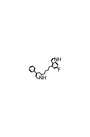 Fc1cc(CCCCC2CC(c3ccccc3)=CCN2)c2cc[nH]c2c1